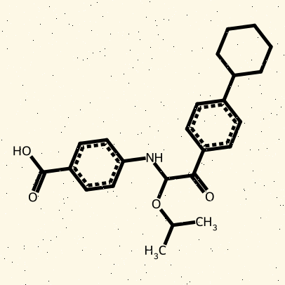 CC(C)OC(Nc1ccc(C(=O)O)cc1)C(=O)c1ccc(C2CCCCC2)cc1